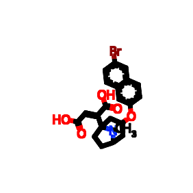 CN1C2CCC1(/C(=C\C(=O)O)C(=O)O)CC(Oc1ccc3cc(Br)ccc3c1)C2